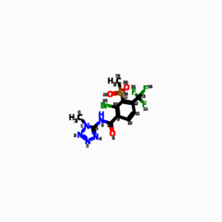 Cn1nnnc1NC(=O)c1ccc(C(F)(F)F)c(S(C)(=O)=O)c1Br